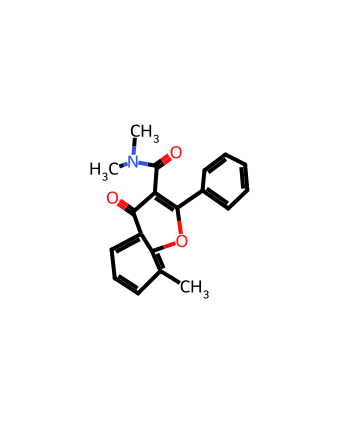 Cc1cccc2c(=O)c(C(=O)N(C)C)c(-c3ccccc3)oc12